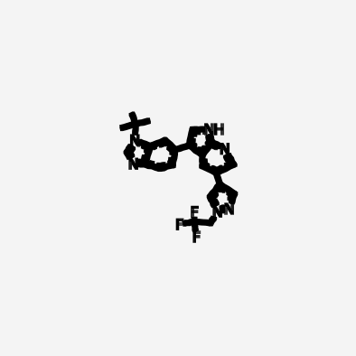 CC(C)(C)n1cnc2ccc(-c3c[nH]c4ncc(-c5cnn(CC(F)(F)F)c5)cc34)cc21